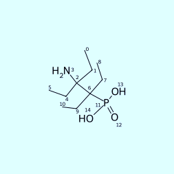 CCC(N)(CC)C(CC)(CC)P(=O)(O)O